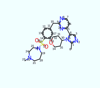 Cc1ncc(-c2ccnc(Cc3ccc(S(=O)(=O)N4CCCN(C)CC4)cc3)n2)n1C1CCOCC1